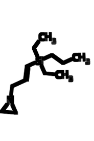 CCC[Si](C=CCN1CC1)(CC)CC